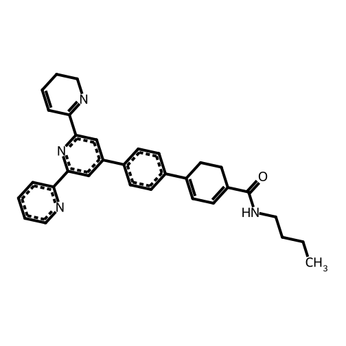 CCCCNC(=O)C1=CC=C(c2ccc(-c3cc(C4=NCCC=C4)nc(-c4ccccn4)c3)cc2)CC1